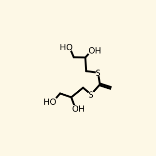 C=C(SCC(O)CO)SCC(O)CO